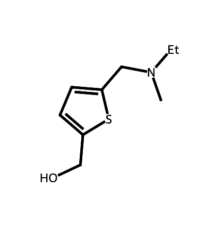 CCN(C)Cc1ccc(CO)s1